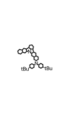 CC(C)(C)c1ccc(N(c2ccc(C(C)(C)C)cc2)c2ccc3cc4c5cccc6c7cc8ccccc8cc7n(c4cc3c2)c65)cc1